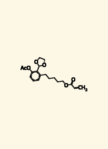 C=CC(=O)OCCCCCc1cccc(OC(C)=O)c1C1OCCO1